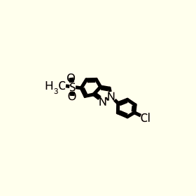 CS(=O)(=O)c1ccc2cn(-c3ccc(Cl)cc3)nc2c1